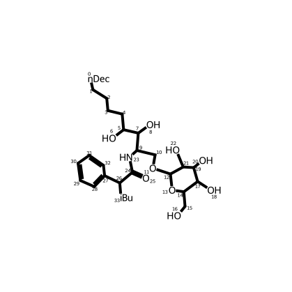 CCCCCCCCCCCCCCC(O)C(O)C(COC1OC(CO)C(O)C(O)C1O)NC(=O)C(c1ccccc1)C(C)CC